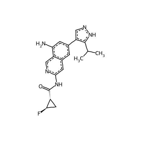 CC(C)c1[nH]ncc1-c1cc(N)c2cnc(NC(=O)[C@@H]3C[C@H]3F)cc2c1